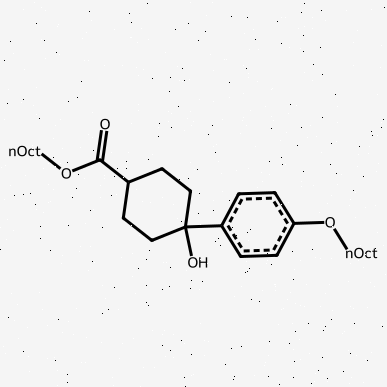 CCCCCCCCOC(=O)C1CCC(O)(c2ccc(OCCCCCCCC)cc2)CC1